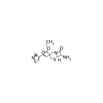 CCOC(=O)C1(C=Cc2csnn2)CS[C@@H]2C(N)C(=O)N2C1